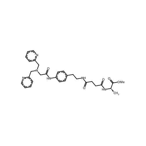 COC(=O)[C@@H](C)NC(=O)CCC(=O)NCCc1ccc(NC(=O)CN(Cc2ccccn2)Cc2ccccn2)cc1